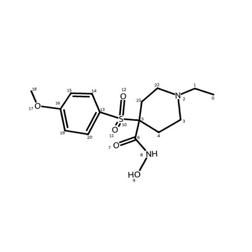 CCN1CCC(C(=O)NO)(S(=O)(=O)c2ccc(OC)cc2)CC1